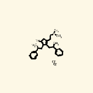 CC(CC1=[C]([Ti+2])CC(CCN(C)C)=C1CC(C)c1ccccc1)c1ccccc1.[Cl-].[Cl-]